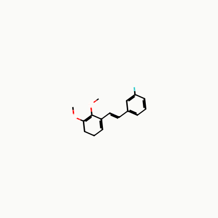 COC1=C(OC)C(/C=C/c2cccc(F)c2)=CCC1